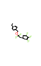 CCc1ccc(COC(F)(F)Cc2cc(F)c(F)c(F)c2)cc1